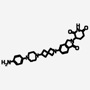 Nc1ccc(N2CCN(C3CC4(C3)CN(c3ccc5c(c3)CN(C3CCC(=O)NC3=O)C5=O)C4)CC2)cc1